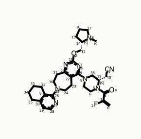 C=C(F)C(=O)N1CCN(c2nc(OC[C@@H]3CCCN3C)nc3c2CCN(c2nccc4c2CCCC4)CC3)C[C@@H]1CC#N